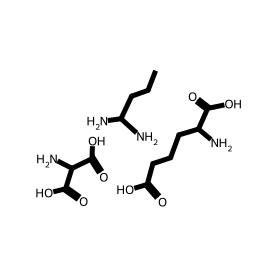 CCCC(N)N.NC(C(=O)O)C(=O)O.NC(CCCC(=O)O)C(=O)O